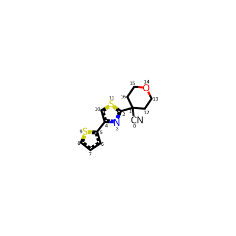 N#CC1(c2nc(-c3cccs3)cs2)CCOCC1